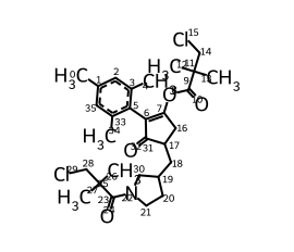 Cc1cc(C)c(C2=C(OC(=O)C(C)(C)CCl)CC(CC3CCN(C(=O)C(C)(C)CCl)C3)C2=O)c(C)c1